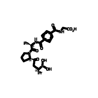 CC(C)[C@H](CC(=O)[C@@H]1CCCN1C(=O)[C@@H](NC(=O)c1ccc(C(=O)NCC(=O)O)cc1)C(C)C)B(O)O